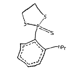 CCCc1ccccc1P1(=S)SCCS1